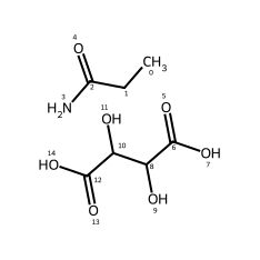 CCC(N)=O.O=C(O)C(O)C(O)C(=O)O